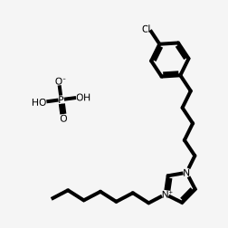 CCCCCCC[n+]1ccn(CCCCCc2ccc(Cl)cc2)c1.O=P([O-])(O)O